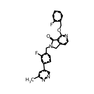 Cc1cc(-c2ccc(CN3Cc4ccnc(OCc5ccccc5F)c4C3=O)c(F)c2)cnn1